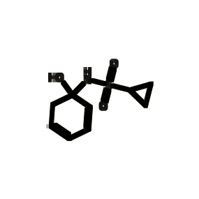 O=S(=O)(NC1(O)C=CC=[C]C1)C1CC1